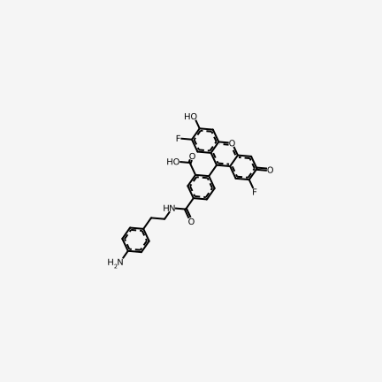 Nc1ccc(CCNC(=O)c2ccc(-c3c4cc(F)c(=O)cc-4oc4cc(O)c(F)cc34)c(C(=O)O)c2)cc1